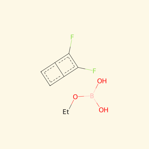 CCOB(O)O.Fc1c2ccc-2c1F